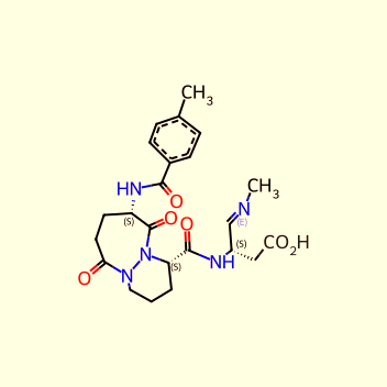 C/N=C/[C@H](CC(=O)O)NC(=O)[C@@H]1CCCN2C(=O)CC[C@H](NC(=O)c3ccc(C)cc3)C(=O)N12